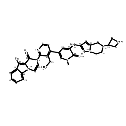 Cn1cc(-c2ccnc(-n3ccn4c(c(F)c5ccccc54)c3=O)c2CO)cc(Nc2cc3n(n2)CCN(C2COC2)C3)c1=O